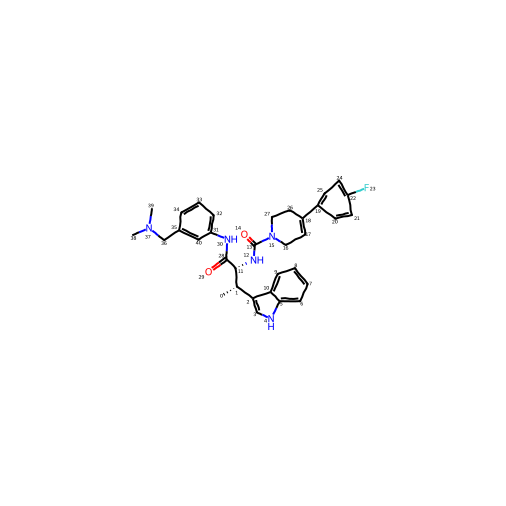 C[C@@H](c1c[nH]c2ccccc12)[C@@H](NC(=O)N1CC=C(c2ccc(F)cc2)CC1)C(=O)Nc1cccc(CN(C)C)c1